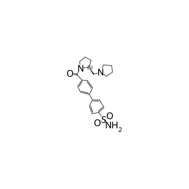 NS(=O)(=O)c1ccc(-c2ccc(C(=O)N3CCC[C@H]3CN3CCCC3)cc2)cc1